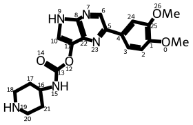 COc1ccc(-c2cnc3[nH]cc(OC(=O)NC4CCNCC4)c3n2)cc1OC